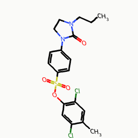 CCCN1CCN(c2ccc(S(=O)(=O)Oc3cc(Cl)c(C)cc3Cl)cc2)C1=O